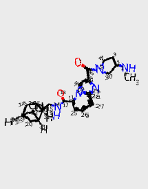 CNC1CCN(C(=O)c2cn3c(C(=O)NC[C@@H]4CC[C@H]5C[C@@H]4C5(C)C)cccc3n2)C1